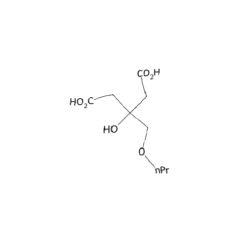 CCCOCC(O)(CC(=O)O)CC(=O)O